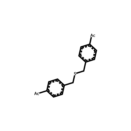 CC(=O)c1ccc(CSCc2ccc(C(C)=O)cc2)cc1